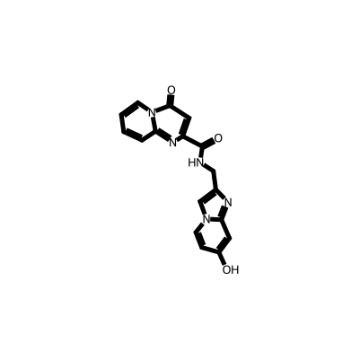 O=C(NCc1cn2ccc(O)cc2n1)c1cc(=O)n2ccccc2n1